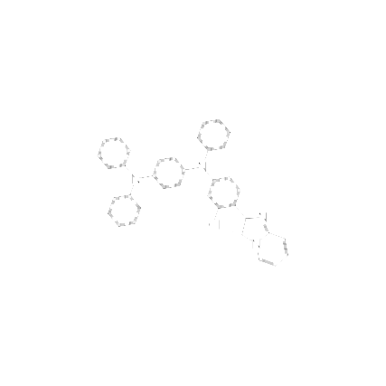 Cc1cc(N(c2ccccc2)c2ccc(N(c3ccccc3)c3ccccc3)cc2)ccc1C1CN2C=CC=CC2=N1